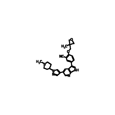 CN1CCC(n2cc(-c3cnc4[nH]cc(-c5ccc(OCC6(C)COC6)c(C#N)c5)c4c3)cn2)CC1